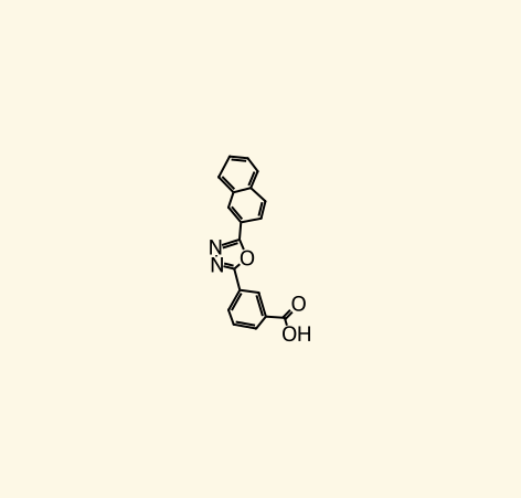 O=C(O)c1cccc(-c2nnc(-c3ccc4ccccc4c3)o2)c1